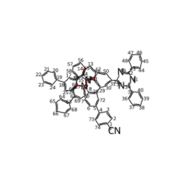 N#Cc1ccc(-c2ccc(-n3c4ccccc4c4cc(-c5ccccc5)ccc43)c(-c3cc(-c4nc(-c5ccccc5)nc(-c5ccccc5)n4)ccc3-n3c4ccccc4c4cc(-c5ccccc5)ccc43)c2)cc1